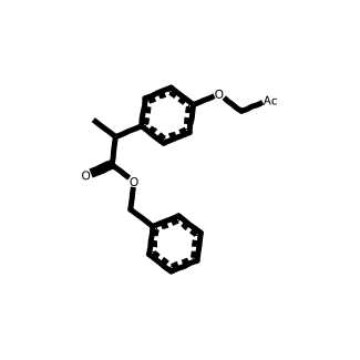 CC(=O)COc1ccc(C(C)C(=O)OCc2ccccc2)cc1